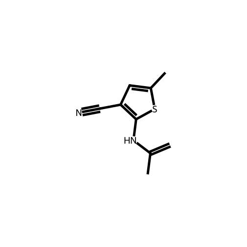 C=C(C)Nc1sc(C)cc1C#N